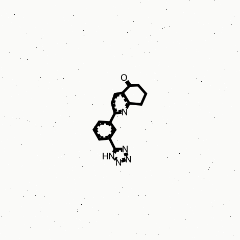 O=C1CCCc2nc(-c3cccc(-c4nnn[nH]4)c3)ccc21